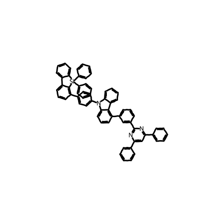 c1ccc(-c2cc(-c3ccccc3)nc(-c3cccc(-c4cccc5c4c4ccccc4n5-c4ccc(-c5cccc6c5[Si](c5ccccc5)(c5ccccc5)c5ccccc5-6)cc4)c3)n2)cc1